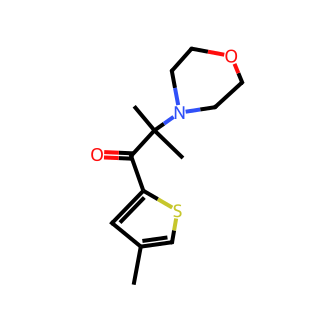 Cc1csc(C(=O)C(C)(C)N2CCOCC2)c1